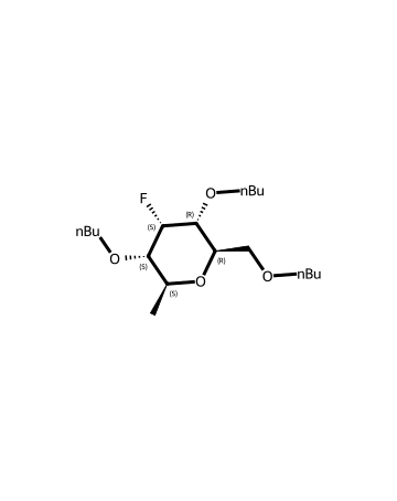 CCCCOC[C@H]1O[C@@H](C)[C@H](OCCCC)[C@H](F)[C@@H]1OCCCC